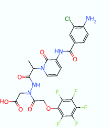 CC(C(=O)NN(CC(=O)O)C(=O)COc1c(F)c(F)c(F)c(F)c1F)n1cccc(NC(=O)c2ccc(N)c(Cl)c2)c1=O